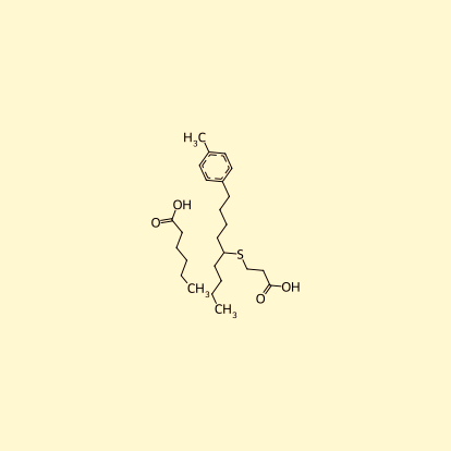 CCCCC(CCCCc1ccc(C)cc1)SCCC(=O)O.CCCCCC(=O)O